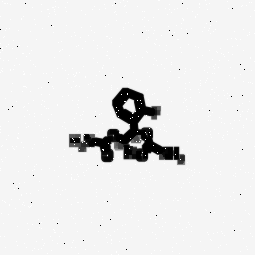 CC[C@H](OC(N)=O)[C@@H](OC(N)=O)c1ccccc1F